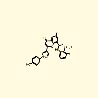 Cc1cc(C(C)Nc2cccc(F)c2C(=O)O)c2oc(-c3cnn(-c4ccc(C#N)cc4)c3)cc(=O)c2c1